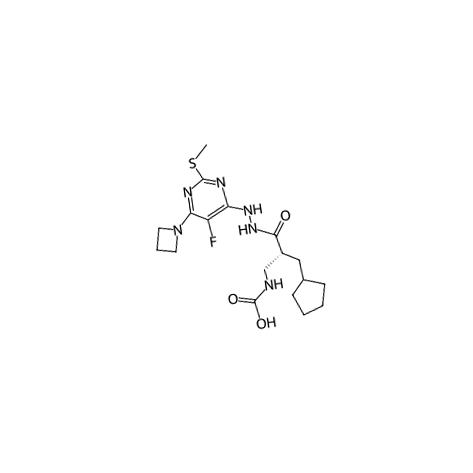 CSc1nc(NNC(=O)[C@@H](CNC(=O)O)CC2CCCC2)c(F)c(N2CCC2)n1